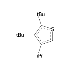 CC(C)c1csc(C(C)(C)C)c1C(C)(C)C